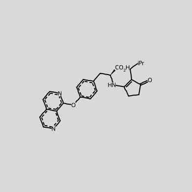 CC(C)CC1=C(N[C@@H](Cc2ccc(Oc3nccc4ccncc34)cc2)C(=O)O)CCC1=O